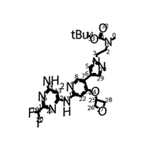 CN(CCn1cc(-c2cnc(Nc3cc(N)nc(C(F)F)n3)cc2OC2COC2)cn1)C(=O)OC(C)(C)C